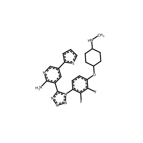 CNC1CCC(Oc2ccc(-n3nnnc3-c3cc(-c4cccs4)cnc3N)c(F)c2F)CC1